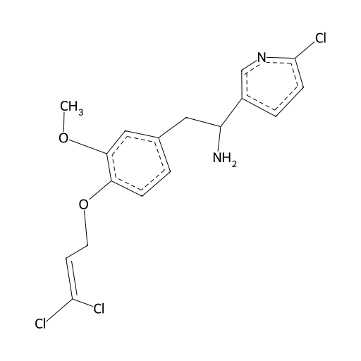 COc1cc(CC(N)c2ccc(Cl)nc2)ccc1OCC=C(Cl)Cl